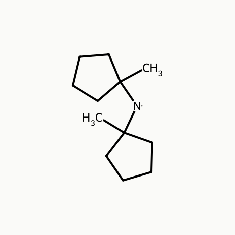 CC1([N]C2(C)CCCC2)CCCC1